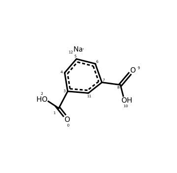 O=C(O)c1cccc(C(=O)O)c1.[Na]